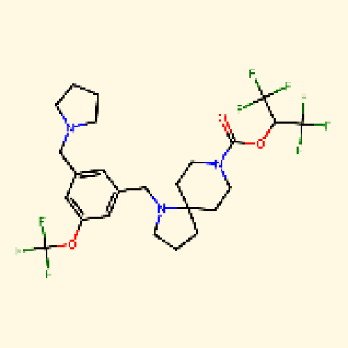 O=C(OC(C(F)(F)F)C(F)(F)F)N1CCC2(CCCN2Cc2cc(CN3CCCC3)cc(OC(F)(F)F)c2)CC1